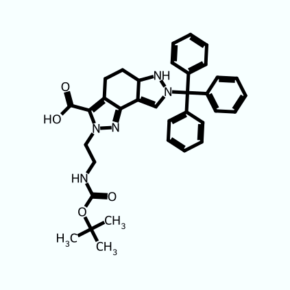 CC(C)(C)OC(=O)NCCn1nc2c(c1C(=O)O)CCC1NN(C(c3ccccc3)(c3ccccc3)c3ccccc3)C=C21